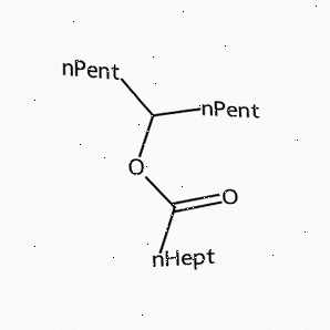 CCCCCCCC(=O)OC(CCCCC)CCCCC